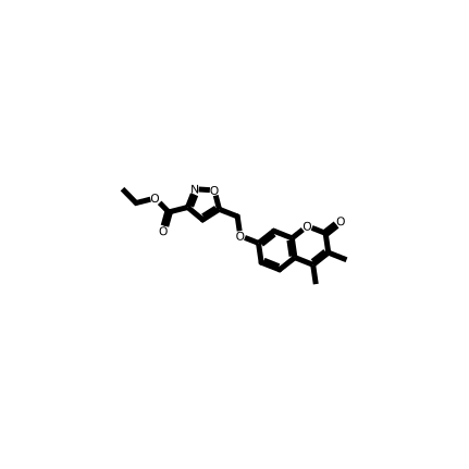 CCOC(=O)c1cc(COc2ccc3c(C)c(C)c(=O)oc3c2)on1